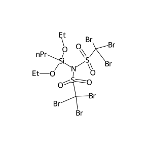 CCC[Si](OCC)(OCC)N(S(=O)(=O)C(Br)(Br)Br)S(=O)(=O)C(Br)(Br)Br